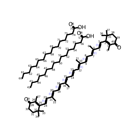 CC1=C(/C=C/C(C)=C/C=C/C(C)=C/C=C/C=C(C)/C=C/C=C(C)/C=C/C2=C(C)C(=O)CCC2(C)C)C(C)(C)CCC1=O.CCCCCCCCCCCCCCCC(=O)O.CCCCCCCCCCCCCCCC(=O)O